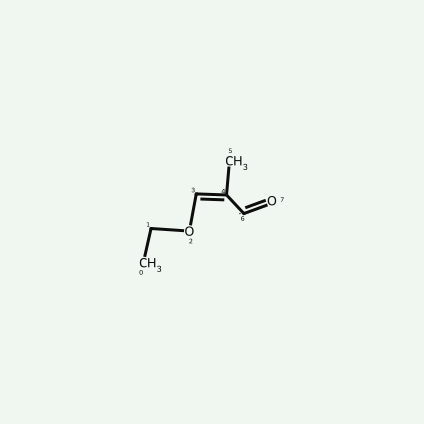 CCOC=C(C)[C]=O